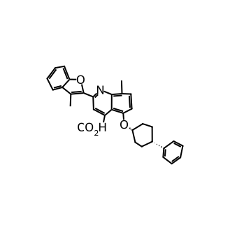 Cc1c(-c2cc(C(=O)O)c3c(O[C@H]4CC[C@@H](c5ccccc5)CC4)ccc(C)c3n2)oc2ccccc12